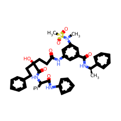 CC(C)C(NC(=O)C(O)(CCC(=O)Nc1cc(C(=O)N[C@H](C)c2ccccc2)cc(N(C)S(C)(=O)=O)c1)CCc1ccccc1)C(=O)Nc1ccccc1